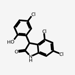 O=C1Nc2cc(Cl)cc(Cl)c2C1c1cc(Cl)ccc1O